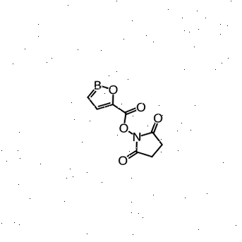 O=C(ON1C(=O)CCC1=O)c1ccbo1